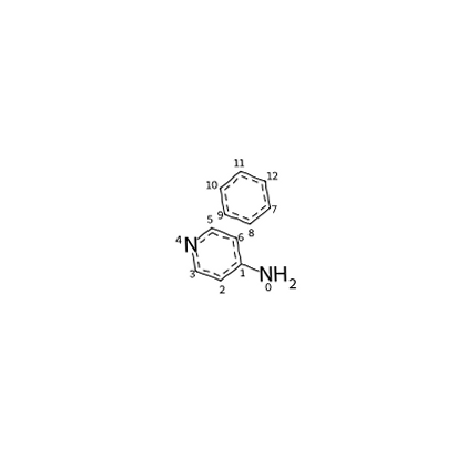 Nc1ccncc1.c1ccccc1